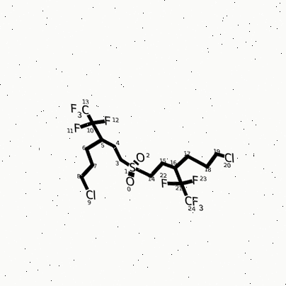 O=S(=O)(CCC(CCCCl)C(F)(F)C(F)(F)F)CCC(CCCCl)C(F)(F)C(F)(F)F